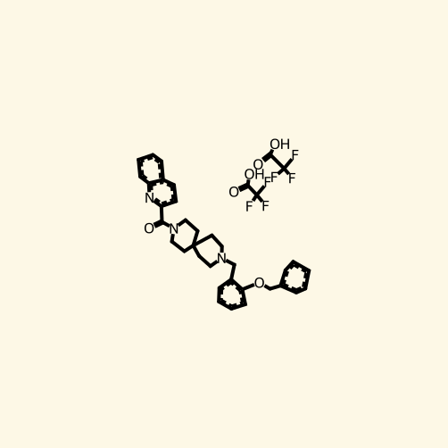 O=C(O)C(F)(F)F.O=C(O)C(F)(F)F.O=C(c1ccc2ccccc2n1)N1CCC2(CCN(Cc3ccccc3OCc3ccccc3)CC2)CC1